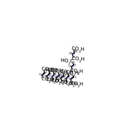 O=C(O)/C=C/C(=O)O.O=C(O)/C=C/C(=O)O.O=C(O)/C=C/C(=O)O.O=C(O)/C=C/C(=O)O.O=C(O)/C=C/C(=O)O.O=C(O)/C=C/C(=O)O.O=C(O)/C=C/C(=O)O.O=C(O)/C=C/C(=O)O.O=C(O)/C=C/C(=O)O